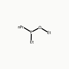 CCCP(CC)OCC